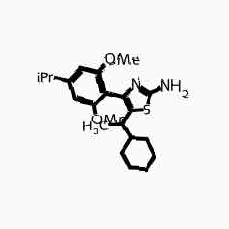 COc1cc(C(C)C)cc(OC)c1-c1nc(N)sc1C(C)C1CCCCC1